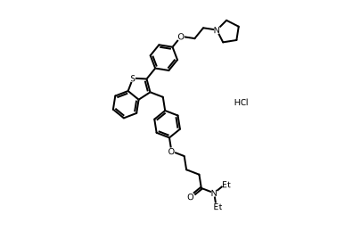 CCN(CC)C(=O)CCCOc1ccc(Cc2c(-c3ccc(OCCN4CCCC4)cc3)sc3ccccc23)cc1.Cl